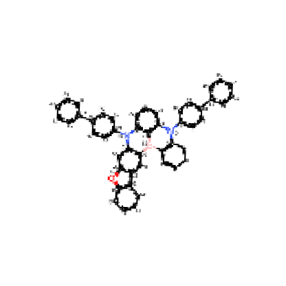 C1=CC2=C(CC1)N(c1ccc(-c3ccccc3)cc1)c1cccc3c1B2c1cc2c(cc1N3c1ccc(-c3ccccc3)cc1)oc1ccccc12